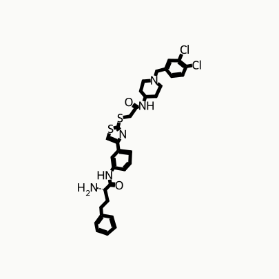 N[C@@H](CCc1ccccc1)C(=O)Nc1cccc(-c2csc(SCC(=O)NC3CCN(Cc4ccc(Cl)c(Cl)c4)CC3)n2)c1